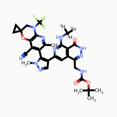 [2H]C([2H])([2H])Nc1nc(-c2cnn(C)c2-c2c(C)nc3c(c2C#N)OC2(CC2)CN3C(F)(F)F)cc2c(CNC(=O)OC(C)(C)C)n[nH]c(=O)c12